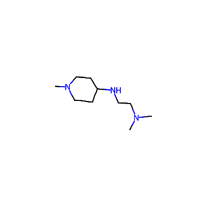 CN(C)CCNC1CCN(C)CC1